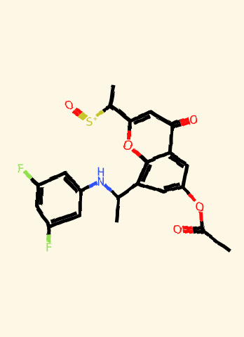 CC(=O)Oc1cc(C(C)Nc2cc(F)cc(F)c2)c2oc(C(C)[S+]=O)cc(=O)c2c1